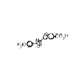 O=C(O)N1CCC2(CC1)CC(c1noc(-c3ccc(C(F)(F)F)cc3)n1)CO2